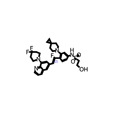 O=S(=O)(CCO)Nc1ccc(/C(F)=C/c2cc(N3CCC(F)(F)CC3)c3ncccc3c2)c(N2CCC3(CC2)CC3)c1